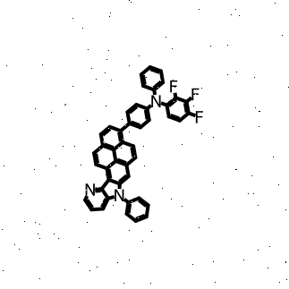 Fc1ccc(N(c2ccccc2)c2ccc(-c3ccc4ccc5c6c(ccc3c46)cc3c5c4ncccc4n3-c3ccccc3)cc2)c(F)c1F